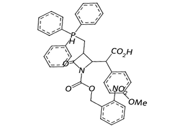 COc1ccc(C(C(=O)O)C2C(C[PH](c3ccccc3)(c3ccccc3)c3ccccc3)C(=O)N2C(=O)OCc2ccccc2[N+](=O)[O-])cc1